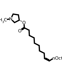 CCCCCCCC/C=C\CCCCCCCC(=O)O[C@H]1CCN(C)C1